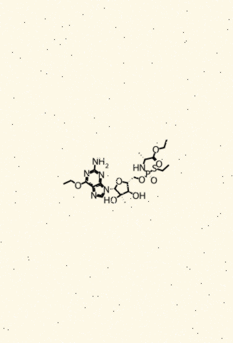 CCOC(=O)[C@@H](C)NP(=O)(OC[C@H]1O[C@@H](n2cnc3c(OCC)nc(N)nc32)[C@](C)(O)[C@@H]1O)SCC